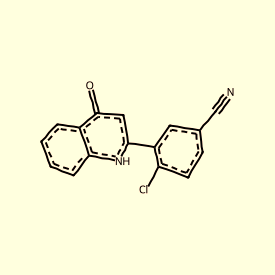 N#Cc1ccc(Cl)c(-c2cc(=O)c3ccccc3[nH]2)c1